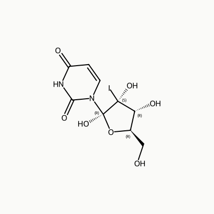 O=c1ccn([C@]2(O)O[C@H](CO)[C@@H](O)[C@]2(O)I)c(=O)[nH]1